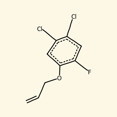 C=CCOc1cc(Cl)c(Cl)cc1F